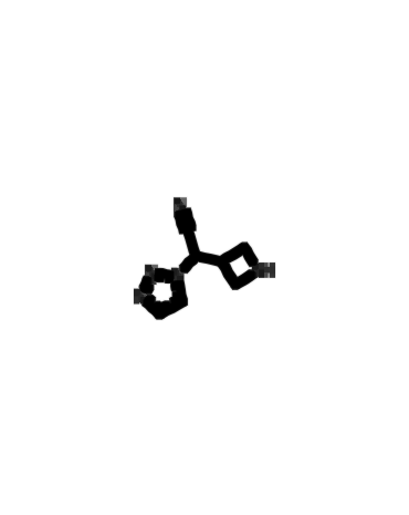 N#CC(C1CNC1)n1ccnn1